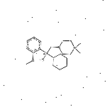 COc1ccccc1[C@@](O)(CN1CC[N+](C)(C)CC1)C1CCCCC1